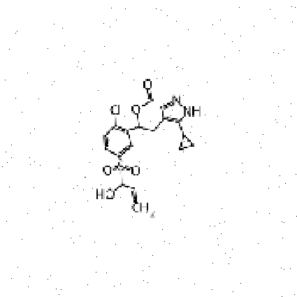 C=CC(O)S(=O)(=O)c1ccc(Cl)c(C(Cc2cn[nH]c2C2CC2)OC=O)c1